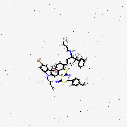 C=Cc1ccc(CSC(=N)SC(=N)SC2=C(/C=C/C(=N\CCCC)C(C)(C)c3cccc(Br)c3)CCC/C2=C\C=C2\N(CCCC)c3ccc(Br)cc3C2(C)C)cc1